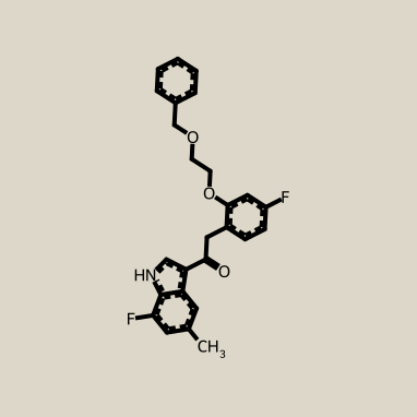 Cc1cc(F)c2[nH]cc(C(=O)Cc3ccc(F)cc3OCCOCc3ccccc3)c2c1